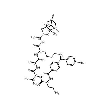 CCCCc1ccc(Nc2ccc(C(=O)N[C@@H](CCN)C(=O)N[C@H](C(=O)N[C@@H](N)C(=O)N[C@@H](CCCCN)C(=O)N[C@@H](C)B3OC4C[C@@H]5C[C@@H](C5(C)C)[C@]4(C)O3)[C@@H](C)O)cc2)cc1